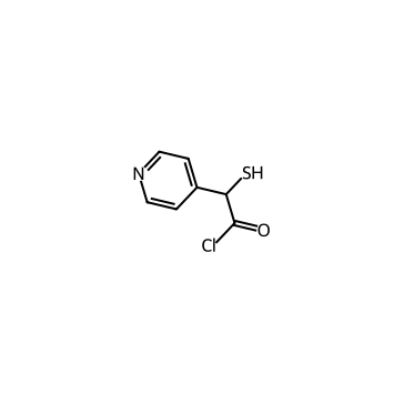 O=C(Cl)C(S)c1ccncc1